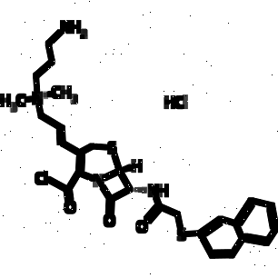 C[N+](C)(C/C=C/C1=C(C(=O)Cl)N2C(=O)[C@@H](NC(=O)CSc3ccc4ccccc4c3)[C@H]2SC1)CCCN.Cl